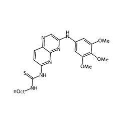 CCCCCCCCNC(=S)Nc1ccc2ncc(Nc3cc(OC)c(OC)c(OC)c3)nc2n1